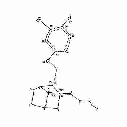 CCCC[C@H]1CC2CCC([C@@H]1COc1ccc(Cl)c(Cl)c1)N2C